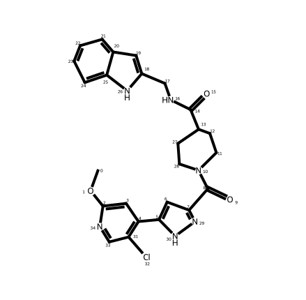 COc1cc(-c2cc(C(=O)N3CCC(C(=O)NCc4cc5ccccc5[nH]4)CC3)n[nH]2)c(Cl)cn1